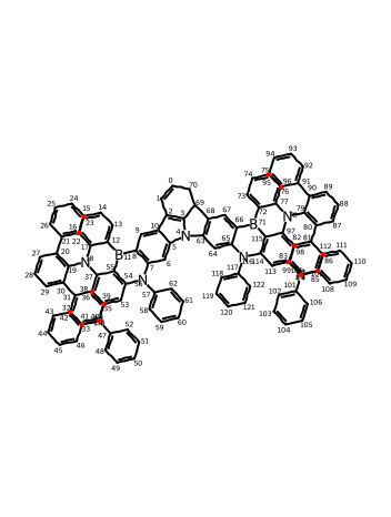 C1=Cc2c3n(c4cc5c(cc24)B2c4ccccc4N(c4c(-c6ccccc6)cccc4-c4ccccc4)c4cc(N(c6ccccc6)c6ccccc6)cc(c42)N5c2ccccc2)-c2cc4c(cc2C3C1)B1c2ccccc2N(c2c(-c3ccccc3)cccc2-c2ccccc2)c2cc(N(c3ccccc3)c3ccccc3)cc(c21)N4c1ccccc1